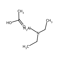 CC(=O)O.CC[N]([AlH2])CC